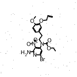 C=CCOc1cc(CCN(C(=O)OCC)c2cc(Br)nc(N)c2[N+](=O)[O-])ccc1OC